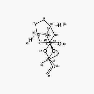 C=CCO[C@H]1C[C@H]2CC[C@@H](C1)N2C(=O)OC(C)(C)C